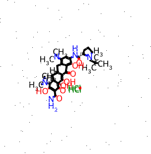 CN(C)c1cc(NC(=O)[C@@H]2CCCN2CC(C)(C)C)c(O)c2c1C[C@H]1C[C@H]3[C@H](N(C)C)C(O)=C(C(N)=O)C(=O)[C@@]3(O)C(O)=C1C2=O.Cl.Cl